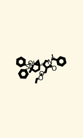 CCOOCC1C(=O)N([C@@H](C)c2ccccc2)C[C@H]1C1(CCC(C)(C)[Si](O)(c2ccccc2)c2ccccc2)CC1